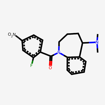 CN(C)C1CCCN(C(=O)c2ccc([N+](=O)[O-])cc2F)c2ccccc21